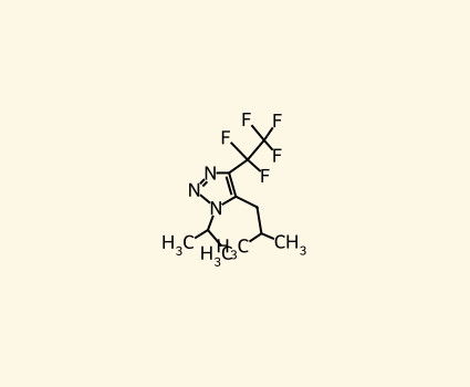 CC(C)Cc1c(C(F)(F)C(F)(F)F)nnn1C(C)C